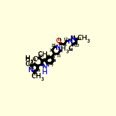 Cc1cc(-c2[nH]c3ccc(C4CCN(C(=O)CCn5nc(C)cc5C)CC4)cc3c2C(C)C)cc(C)n1